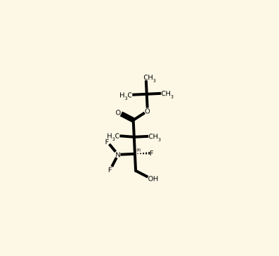 CC(C)(C)OC(=O)C(C)(C)[C@@](F)(CO)N(F)F